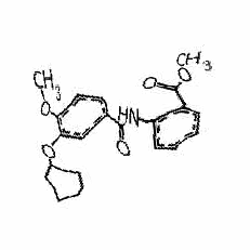 COC(=O)c1ccccc1NC(=O)c1ccc(OC)c(OC2CCCC2)c1